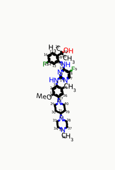 COc1cc(Nc2ncc(F)c(Nc3cc(F)ccc3C(C)(C)O)n2)c(C)cc1N1CCC(N2CCN(C)CC2)CC1